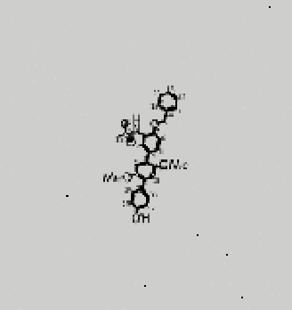 COc1cc(-c2ccc(OCc3ccccc3)c(NS(C)(=O)=O)c2)c(OC)cc1-c1ccc(O)cc1